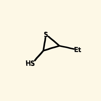 CCC1SC1S